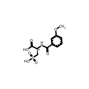 COc1cccc(C(=O)N[C@@H](CS(=O)(=O)O)C(=O)O)c1